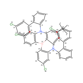 CC(C)(C)c1cc2c3c(c1)N(c1ccccc1-c1cccc(Cl)c1)c1cc(Cl)ccc1B3c1ccc(Cl)cc1N2c1ccccc1-c1cccc(Cl)c1